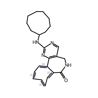 O=C1NCc2cnc(NC3CCCCCCCC3)nc2/C2=C/C=C\C=C\C=C/12